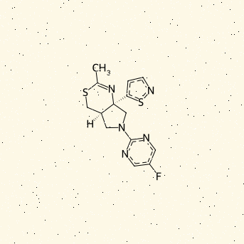 CC1=N[C@@]2(c3ccns3)CN(c3ncc(F)cn3)C[C@H]2CS1